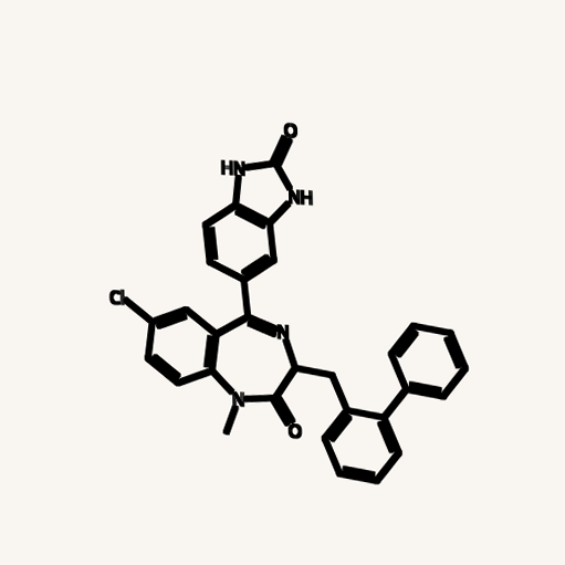 CN1C(=O)C(Cc2ccccc2-c2ccccc2)N=C(c2ccc3[nH]c(=O)[nH]c3c2)c2cc(Cl)ccc21